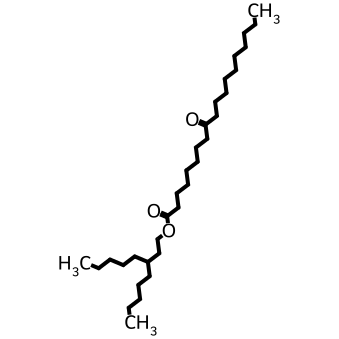 CCCCCCCCCCC(=O)CCCCCCCC(=O)OCCC(CCCCC)CCCCC